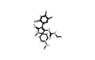 CCOC(=O)OC1=C(c2cc(C)c(C)cc2Br)C(=O)N(C)C12CCN(OC)CC2